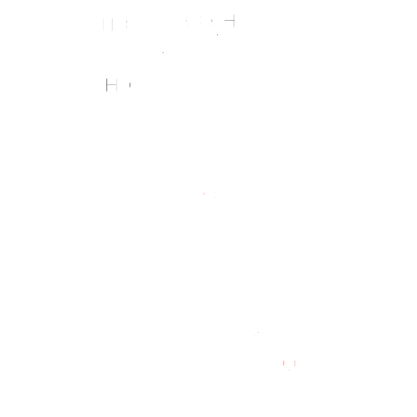 CC(C)(CCCOc1cccc(C(=O)c2ccccc2)c1)C(=O)O